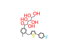 Cc1ccc(C(=O)[C@H](O)[C@@H](O)[C@H](O)[C@H](O)CO)cc1Cc1ccc(-c2ccc(F)cc2)s1